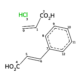 C=CC(=O)O.Cl.O=C(O)C=Cc1ccccc1